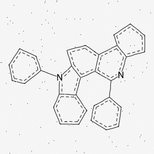 c1ccc(-c2nc3ccccc3c3ccc4c(c5ccccc5n4-c4ccccc4)c23)cc1